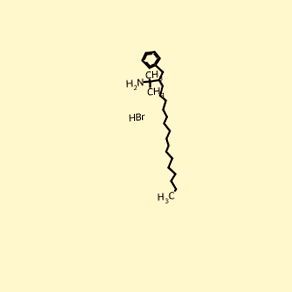 Br.CCCCCCCCCCCCCCCCC(Cc1ccccc1)C(C)(C)N